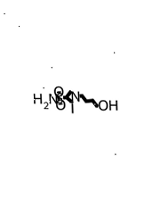 NS(=O)(=O)C1CN(CCCCO)C1I